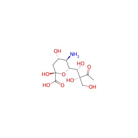 CC(=O)[C@@](O)(CO)[C@@H](O)[C@@H]1O[C@](O)(C(=O)O)C[C@H](O)[C@H]1N